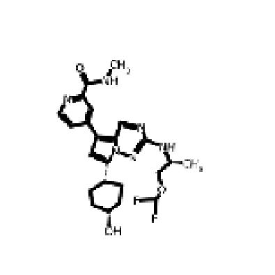 CNC(=O)c1cc(-c2cc([C@H]3CC[C@H](O)CC3)n3nc(N[C@@H](C)COC(F)F)ncc23)ccn1